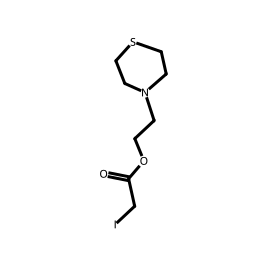 O=C(CI)OCCN1CCSCC1